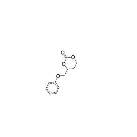 O=C1OCCC(COc2ccccc2)O1